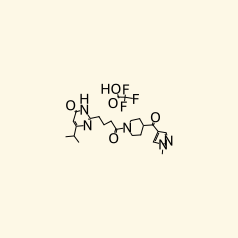 CC(C)c1cc(=O)[nH]c(CCCC(=O)N2CCC(C(=O)c3cnn(C)c3)CC2)n1.O=C(O)C(F)(F)F